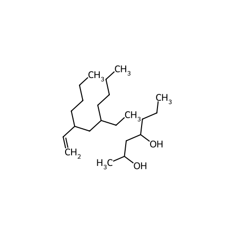 C=CC(CCCC)CC(CC)CCCC.CCCC(O)CC(C)O